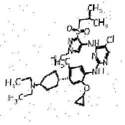 CCN(CC)[C@H]1CC[C@H](c2cc(OC3CC3)c(Nc3ncc(Cl)c(Nc4cn(C)nc4S(=O)(=O)CC(C)C)n3)cc2C)CC1